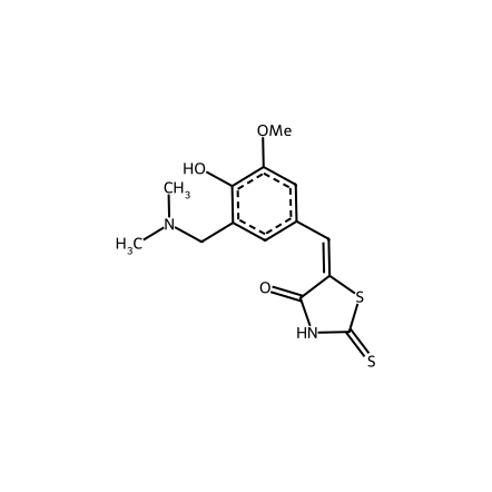 COc1cc(C=C2SC(=S)NC2=O)cc(CN(C)C)c1O